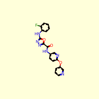 O=C(Nc1ccc(Oc2cccnc2)nc1)c1nnc(Nc2ccccc2F)o1